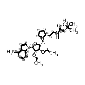 CCO[C@@H]1[C@H](OCC)[C@@H](CN2CCC[C@H]2CCNC(=O)OC(C)(C)C)O[C@H]1n1ccc2c(N)ncnc21